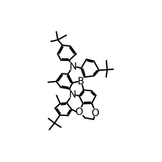 Cc1cc2c3c(c1)N(c1c(C)cc(C(C)(C)C)cc1C)c1c(ccc4c1OCCO4)B3c1cc(C(C)(C)C)ccc1N2c1ccc(C(C)(C)C)cc1